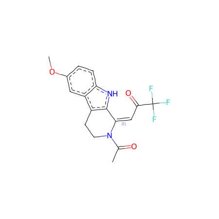 COc1ccc2[nH]c3c(c2c1)CCN(C(C)=O)/C3=C/C(=O)C(F)(F)F